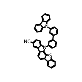 N#Cc1ccc2c(c1)c1ccc3c4ccccc4sc3c1n2-c1cccc(-c2cccc(-n3c4ccccc4c4ccccc43)c2)c1